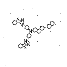 c1ccc2cc(-c3ccc4c(ccc5cc(N(c6ccc(-c7cnc8sc9ccccc9c8n7)cc6)c6ccc(-c7cnc8sc9ccccc9c8n7)cc6)ccc54)c3)ccc2c1